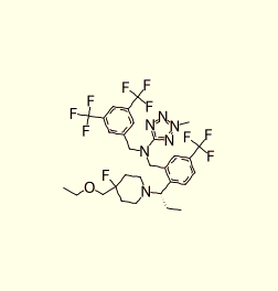 CCOCC1(F)CCN([C@@H](CC)c2ccc(C(F)(F)F)cc2CN(Cc2cc(C(F)(F)F)cc(C(F)(F)F)c2)c2nnn(C)n2)CC1